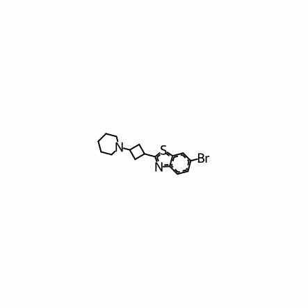 Brc1ccc2nc(C3CC(N4CCCCC4)C3)sc2c1